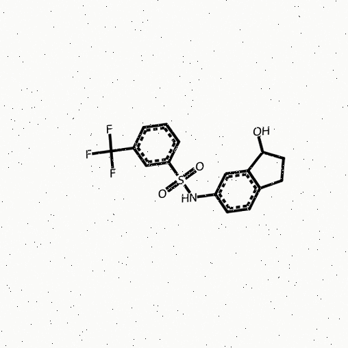 O=S(=O)(Nc1ccc2c(c1)C(O)CC2)c1cccc(C(F)(F)F)c1